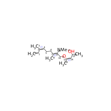 C=C/C(C)=C\CC/C(C)=C(/CO/C(C)=C\C(C)O)NC